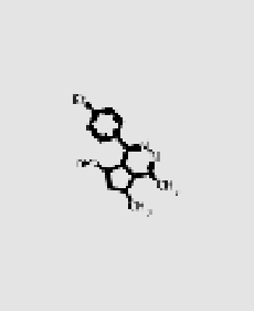 CCCC1CC(C)C2C(C)=NN=C(c3ccc(CC)cc3)C12